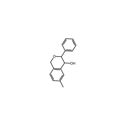 Cc1ccc2c(c1)C(O)C(c1ccccc1)OC2